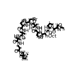 CCCCCCCCC(NC(=O)[C@@H]1CCCN1C(=O)c1coc(C)n1)C(=O)NC(CC(C)C)C(=O)NC(C)(C)C(=O)NC(CC(C)C)C(=O)NC(CC(C)C)C(=O)NC(C)(C)C(=O)NC(C)(C)C(=O)NCCC(=O)N1CC2(CCN2C)C1